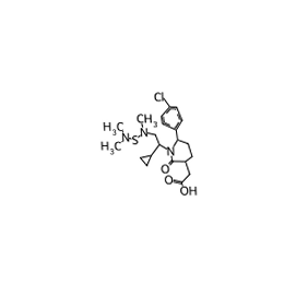 CN(C)SN(C)CC(C1CC1)N1C(=O)C(CC(=O)O)CCC1c1ccc(Cl)cc1